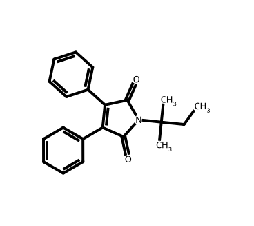 CCC(C)(C)N1C(=O)C(c2ccccc2)=C(c2ccccc2)C1=O